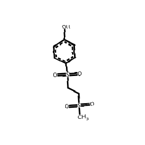 CS(=O)(=O)CCS(=O)(=O)c1ccc(O)cc1